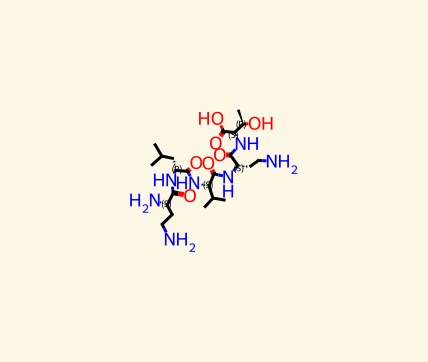 CC(C)C[C@@H](NC(=O)[C@@H](N)CCN)C(=O)N[C@H](C(=O)N[C@@H](CCN)C(=O)N[C@H](C(=O)O)[C@@H](C)O)C(C)C